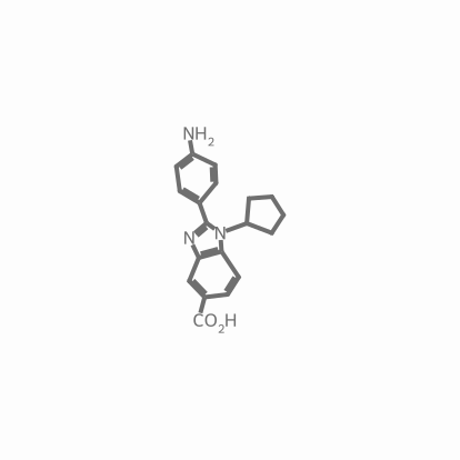 Nc1ccc(-c2nc3cc(C(=O)O)ccc3n2C2CCCC2)cc1